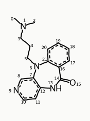 CN(C)CCCN1c2cnccc2NC(=O)c2ccccc21